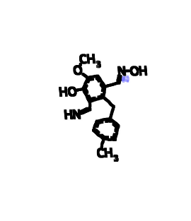 COc1cc(/C=N/O)c(Cc2ccc(C)cc2)c(C=N)c1O